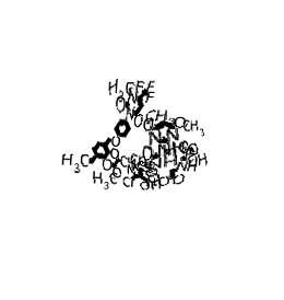 CCc1ccc(COc2ccc(-n3c(=O)cc(C(F)(F)F)n(C)c3=O)cc2)c(OC(C)C(=O)OC)c1.COc1cc(OC)nc(NC(=O)NS(=O)(=O)c2c(C(=O)O)c(Cl)nn2C)n1.O=C(O)CNCP(=O)(O)O